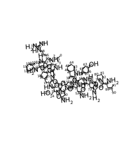 CC(C)C[C@H](NC(=O)CNC(=O)[C@H](Cc1ccccc1)NC(=O)[C@H](CO)NC(=O)[C@H](CC(N)=O)NC(=O)[C@H](Cc1c[nH]c2ccccc12)NC(=O)[C@H](CC(N)=O)NC(=O)[C@H](Cc1ccc(O)cc1)NC(=O)[C@H](CC(N)=O)NC(=O)[C@@H]1CCCN1C(=O)[C@@H](N)CC(C)C)C(=O)N[C@@H](CCCNC(=N)N)C(=O)N[C@@H](Cc1ccccc1)C(N)=O